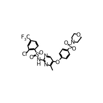 Cc1nc(NS(=O)(=O)c2ccc(C(F)(F)F)cc2Cl)ncc1Oc1ccc(S(=O)(=O)N2CCOCC2)cc1